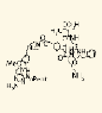 CCCCCNc1nc(N)nc2ccn(Cc3ccc(CN4CCN(C(=O)OCc5ccc(NC(=O)[C@@H](CCCCN)NC(=O)[C@H](Cc6ccccc6)NC(=O)CCNC(=O)CC(C)C(=O)O)cc5)CC4)cc3OC)c12